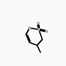 CC1C=COS(=O)(=O)C1